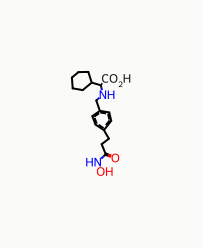 O=C(CCc1ccc(CN[C@H](C(=O)O)C2CCCCC2)cc1)NO